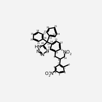 Cc1ccc([N+](=O)[O-])cc1C(Cc1cccc(C(c2ccccc2)(c2ccccc2)c2nnn[nH]2)c1)C[N+](=O)[O-]